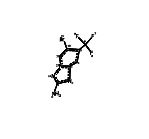 Nc1nc2cc(C(F)(F)F)c(Br)cn2n1